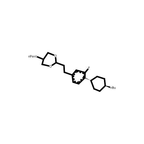 CCCCCC1COC(CCc2ccc([C@H]3CC[C@H](CCCC)CC3)c(F)c2)OC1